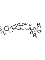 C=C(C)c1ccc2c(c1)CCc1c(C[C@H](CCCNC(=O)OC(C)(C)C)C(=O)O)ncn1-2